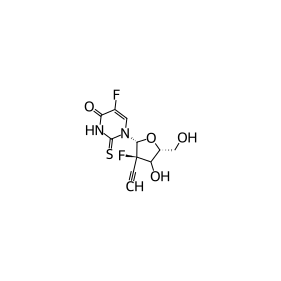 C#C[C@@]1(F)C(O)[C@@H](CO)O[C@H]1n1cc(F)c(=O)[nH]c1=S